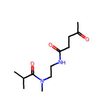 CC(=O)CCC(=O)NCCN(C)C(=O)C(C)C